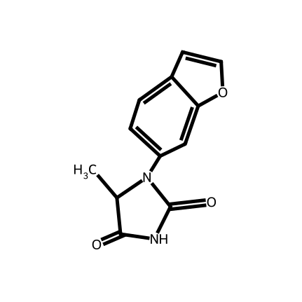 CC1C(=O)NC(=O)N1c1ccc2ccoc2c1